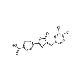 O=C1OC(c2ccc(C(=O)O)cc2)=N/C1=C/c1ccc(Cl)c(Cl)c1